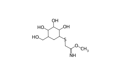 COC(=N)CSC1CC(CO)C(O)C(O)C1O